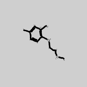 COCCOc1ccc(C)cc1C